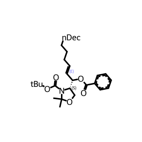 CCCCCCCCCCCCC/C=C/C(OC(=O)c1ccccc1)[C@@H]1COC(C)(C)N1C(=O)OC(C)(C)C